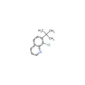 CC(C)(C)c1ccc2cccnc2c1Cl